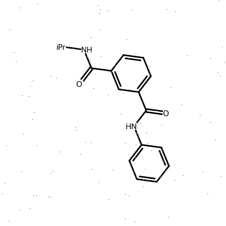 CC(C)NC(=O)c1cccc(C(=O)Nc2ccccc2)c1